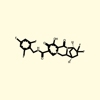 O=C(NCc1c(F)cc(F)cc1F)c1cn2c(c(O)c1=O)C(=O)N1C(C2)[C@H]2C[C@@H]1C(F)(F)C2